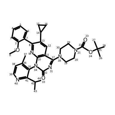 COc1ccccc1-c1nc2c(cc1C1CC1)c(N1CCN(C(=O)OC(C)(C)C)CC1)nc(=O)n2-c1c(C)ccnc1C(C)C